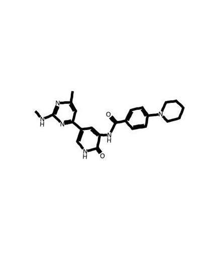 CNc1nc(C)cc(-c2c[nH]c(=O)c(NC(=O)c3ccc(N4CCCCC4)cc3)c2)n1